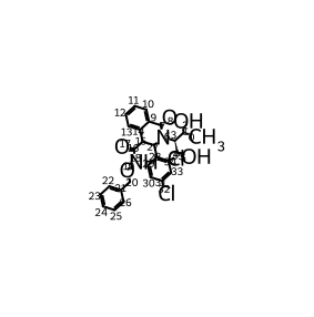 C[C@H](O)[C@@H](CO)N1C(=O)c2ccccc2C(C(=O)NOCc2ccccc2)C1c1ccc(Cl)cc1Cl